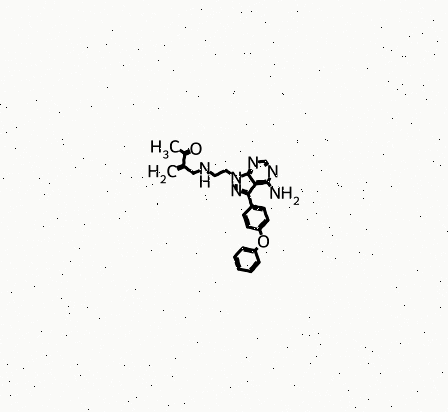 C=C(CNCCn1nc(-c2ccc(Oc3ccccc3)cc2)c2c(N)ncnc21)C(C)=O